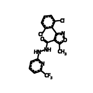 Cc1onc(-c2c(Cl)cccc2Cl)c1C(=O)NNc1cccc(C(F)(F)F)n1